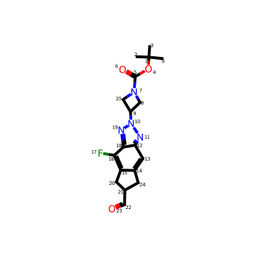 CC(C)(C)OC(=O)N1CC(n2nc3cc4c(c(F)c3n2)CC(C=O)C4)C1